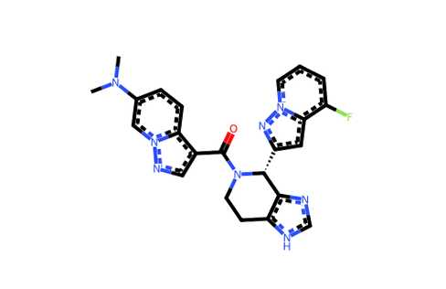 CN(C)c1ccc2c(C(=O)N3CCc4[nH]cnc4[C@H]3c3cc4c(F)cccn4n3)cnn2c1